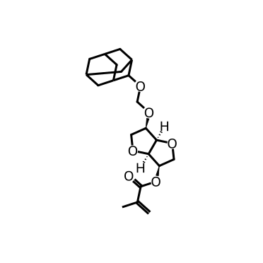 C=C(C)C(=O)O[C@@H]1CO[C@H]2[C@@H]1OC[C@H]2OCOC1C2CC3CC(C2)CC1C3